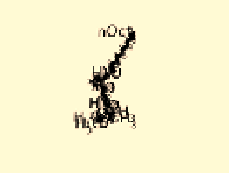 CCCCCCCC/C=C\CCCCCCCC(=O)NCC1CCCN1C(=O)CCNC(=O)[C@H]1OC(C)(C)OCC1(C)C